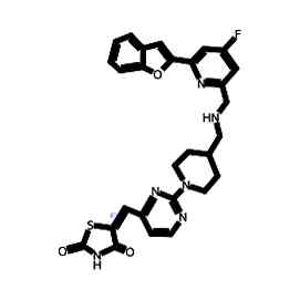 O=C1NC(=O)/C(=C\c2ccnc(N3CCC(CNCc4cc(F)cc(-c5cc6ccccc6o5)n4)CC3)n2)S1